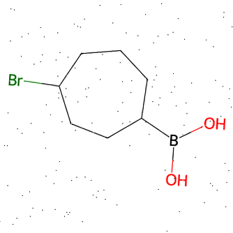 OB(O)C1CCCC(Br)CC1